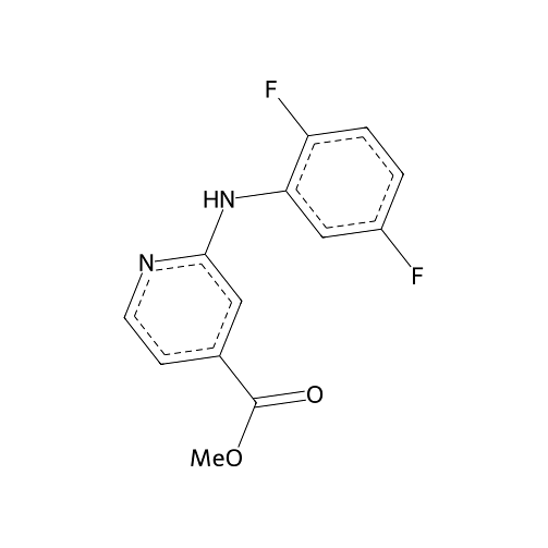 COC(=O)c1ccnc(Nc2cc(F)ccc2F)c1